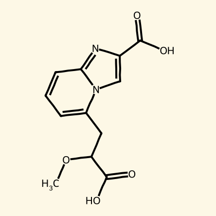 COC(Cc1cccc2nc(C(=O)O)cn12)C(=O)O